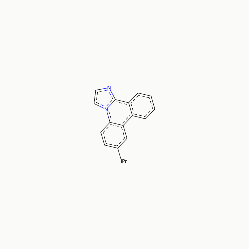 CC(C)c1ccc2c(c1)c1ccccc1c1nccn21